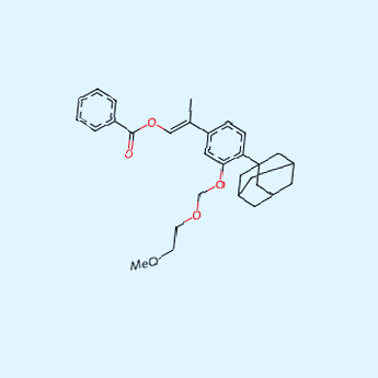 COCCOCOc1cc(C(C)=COC(=O)c2ccccc2)ccc1C12CC3CC(CC(C3)C1)C2